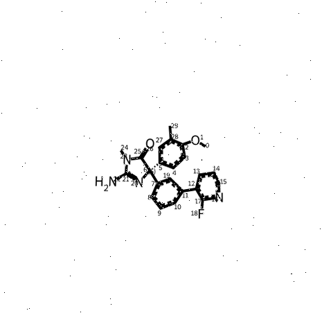 COc1ccc([C@]2(c3cccc(-c4cccnc4F)c3)N=C(N)N(C)C2=O)cc1C